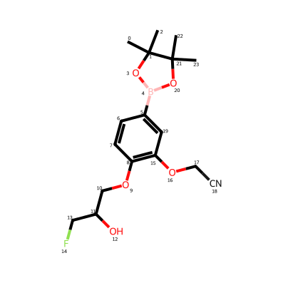 CC1(C)OB(c2ccc(OCC(O)CF)c(OCC#N)c2)OC1(C)C